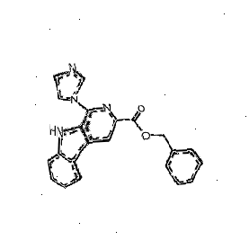 O=C(OCc1ccccc1)c1cc2c([nH]c3ccccc32)c(-n2ccnc2)n1